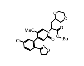 COc1cn(C(CC2COCCO2)C(=O)OC(C)(C)C)c(=O)cc1-c1cc(Cl)ccc1C1=NOCC1